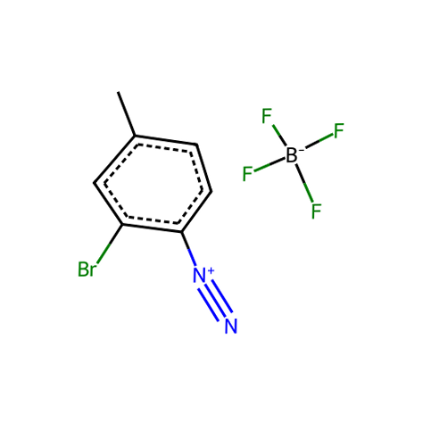 Cc1ccc([N+]#N)c(Br)c1.F[B-](F)(F)F